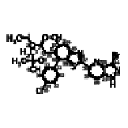 CCOC(=O)[C@@H](OC(C)(C)C)c1c(C)cc2nc(-c3ccc4[nH]nc(Br)c4n3)sc2c1-c1ccc(Cl)cc1